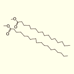 CCCCCCCCCCCCCCCC(=O)OC.CCCCCCCCCCCCCCCCCC(=O)OC